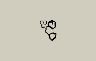 O=C(O)CN(Cc1ccccc1)c1ccccc1